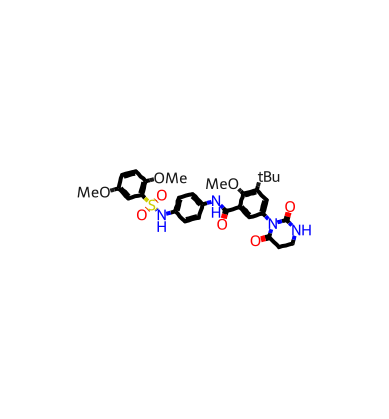 COc1ccc(OC)c(S(=O)(=O)Nc2ccc(NC(=O)c3cc(N4C(=O)CCNC4=O)cc(C(C)(C)C)c3OC)cc2)c1